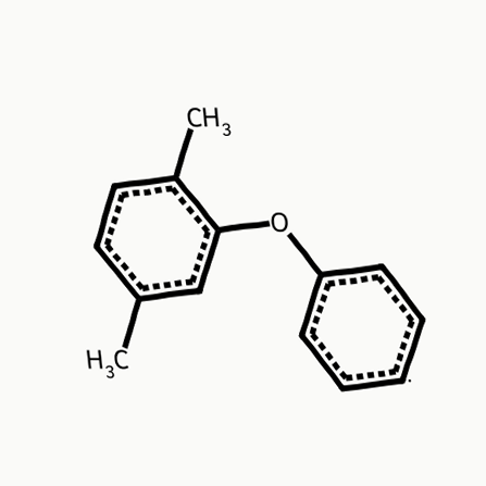 Cc1ccc(C)c(Oc2cc[c]cc2)c1